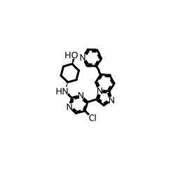 O[C@H]1CC[C@H](Nc2ncc(Cl)c(-c3cnc4ccc(-c5cccnc5)cn34)n2)CC1